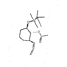 CS(=O)O[C@@H]1[C@@H](N=[N+]=[N-])CCC[C@H]1O[Si](C)(C)C(C)(C)C